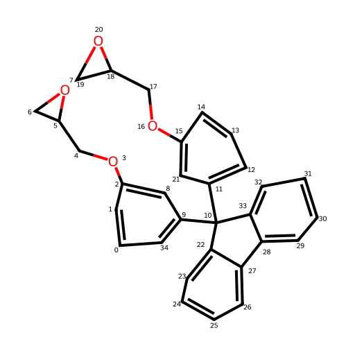 c1cc(OCC2CO2)cc(C2(c3cccc(OCC4CO4)c3)c3ccccc3-c3ccccc32)c1